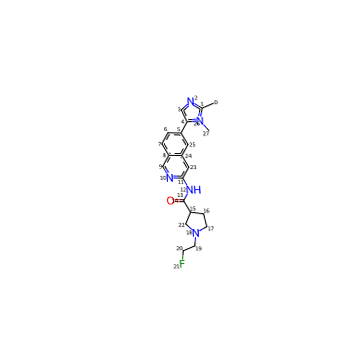 Cc1ncc(-c2ccc3cnc(NC(=O)C4CCN(CCF)C4)cc3c2)n1C